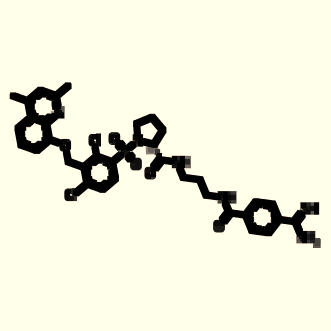 Cc1cc(C)c2cccc(OCc3c(Cl)ccc(S(=O)(=O)N4CCC[C@@H]4C(=O)NCCCNC(=O)c4ccc(C(=N)N)cc4)c3Cl)c2n1